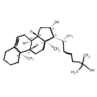 C[C@H](CCCC(C)(C)O)[C@H]1[C@@H](O)C[C@H]2[C@@H]3CC=C4CCCC[C@]4(C)[C@H]3CC[C@]12C